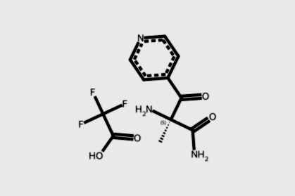 C[C@@](N)(C(N)=O)C(=O)c1ccncc1.O=C(O)C(F)(F)F